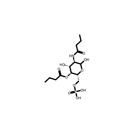 CCCC(=O)N[C@H]1C(O)O[C@H](COP(=O)(O)O)[C@@H](OC(=O)CCC)[C@@H]1O